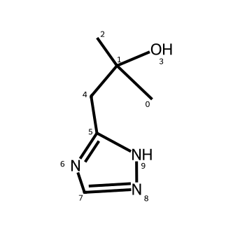 CC(C)(O)Cc1ncn[nH]1